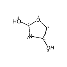 OC1COC(O)[N]1